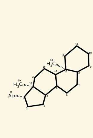 CC(=O)[C@H]1CCC2C3CCC4CCCC[C@]4(C)C3CC[C@@]21C